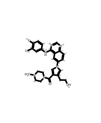 CN1CCN(C(=O)c2cn(-c3ccc4ncnc(Nc5ccc(F)c(Cl)c5)c4c3)cc2CCO)CC1